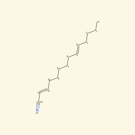 CCCCC=CCCCCCC=CC#N